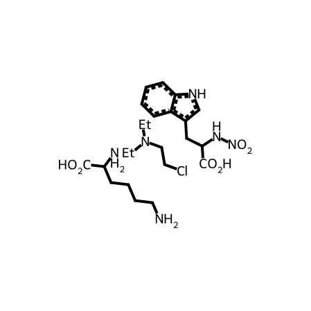 CCN(CC)CCCl.NCCCCC(N)C(=O)O.O=C(O)C(Cc1c[nH]c2ccccc12)N[N+](=O)[O-]